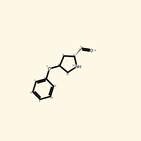 O=C[C@H]1CC(Oc2ccccc2)CN1